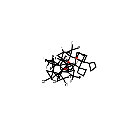 FC1(F)C[C]1C1(C2(C3(C4(C5(C6(C7(C8(C9(C%10(C%11(C%12(C%13(C%14(C%15CCC%15)CCC%14)CCC%13)CCC%12)CCC%11)CC%10(F)F)CC9(F)F)CC8(F)F)CC7(F)F)CC6(Cl)Cl)CC5(Cl)Cl)CC4(Cl)Cl)CC3(F)F)CC2(F)F)CC1(F)F